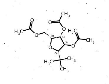 C=C(C)O[C@@H]1[C@@H](OC(C)=O)[C@@H](COC(C)=O)O[C@H]1C(C)(C)C